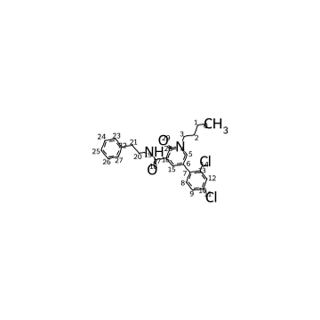 CCCCn1cc(-c2ccc(Cl)cc2Cl)cc(C(=O)NCCc2ccccc2)c1=O